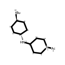 CC(=O)N1CCC(N[C@H]2CC[C@H](C(C)(C)C)CC2)CC1